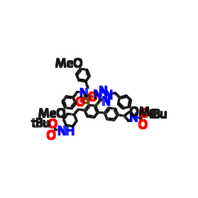 COc1ccc(CN(Cc2ccc(OC)cc2)S(=O)(=O)c2c(CC3CCC(NC(=O)OC(C)(C)C)CC3)ccc(-c3ccc(C4CN(C(=O)OC(C)(C)C)C4)cc3)c2-c2nnn(Cc3ccc(OC)cc3)n2)cc1